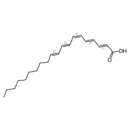 CCCCCCCCC/C=C/C=C/C=C\C=C\C=C\C(=O)O